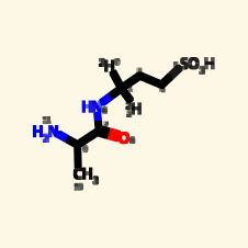 [2H]C([2H])(CCS(=O)(=O)O)NC(=O)C(C)N